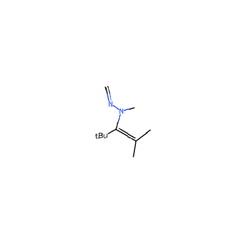 C=NN(C)C(=C(C)C)C(C)(C)C